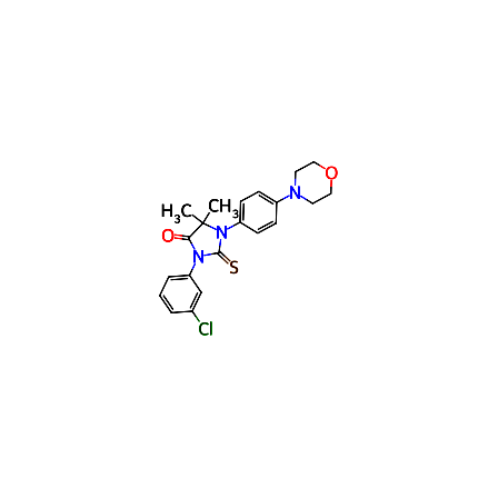 CC1(C)C(=O)N(c2cccc(Cl)c2)C(=S)N1c1ccc(N2CCOCC2)cc1